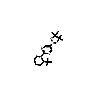 CC(C)(C)C1C[CH]CCN1c1ncc(B2OC(C)(C)C(C)(C)O2)cn1